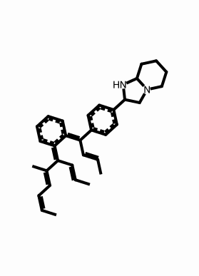 C/C=C\C=C(/C)C(/C=C/C)=c1cccc/c1=C(/C=C/C)c1ccc(C2CN3CCCCC3N2)cc1